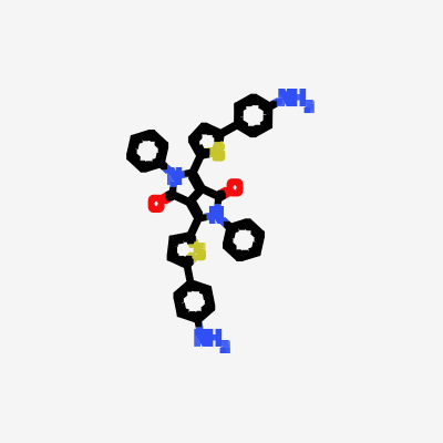 Nc1ccc(-c2ccc(C3=C4C(=O)N(c5ccccc5)C(c5ccc(-c6ccc(N)cc6)s5)=C4C(=O)N3c3ccccc3)s2)cc1